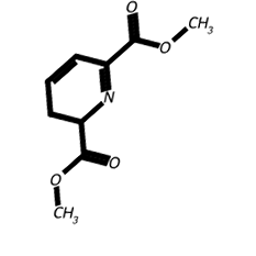 COC(=O)C1=NC(C(=O)OC)CC=C1